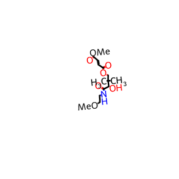 COCCNC(=O)[C@H](O)C(C)(C)COC(=O)/C=C/C(=O)OC